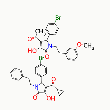 COc1cccc(CCN2C(=O)C(O)=C(C(C)=O)C2c2ccc(Br)cc2)c1.O=C(C1=C(O)C(=O)N(CCc2ccccc2)C1c1ccc(Br)cc1)C1CC1